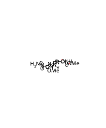 COC(=O)Nc1ccc(-c2ccc3cc(-c4nc5cc(C(=O)N6CCC[C@@H](N)C6)cc(OC)c5n4C)n(CC4CC4)c3n2)cc1